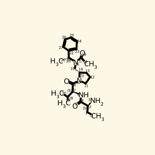 CC[C@H](N)C(=O)N[C@H](C(=O)N1CCC[C@H]1CN(C(C)=O)[C@H](C)c1ccccc1)C(C)C